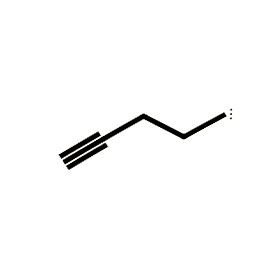 [C]CCC#C